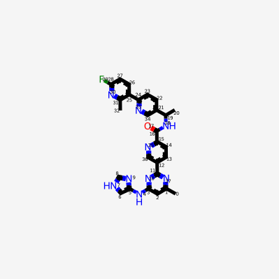 Cc1cc(Nc2c[nH]cn2)nc(-c2ccc(C(=O)NC(C)c3ccc(-c4ccc(F)nc4C)nc3)nc2)n1